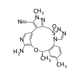 Cc1ccc2c(c1)[C@@H](C)Oc1cc(cnc1N)-c1c(nn(C)c1C#N)CS1(=O)=NN=CN21